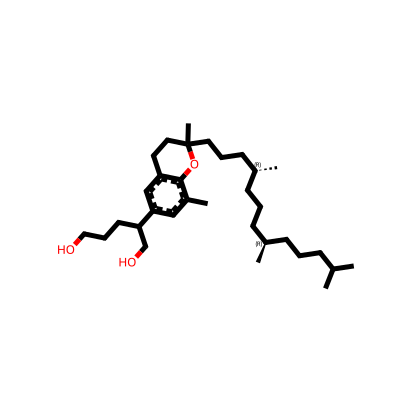 Cc1cc(C(CO)CCCO)cc2c1OC(C)(CCC[C@H](C)CCC[C@H](C)CCCC(C)C)CC2